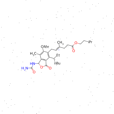 CCCCC(CC)c1c(C/C=C(\C)CCC(=O)OCCC(C)C)c(OC)c(C)c2c1C(=O)OC2NC(N)=O